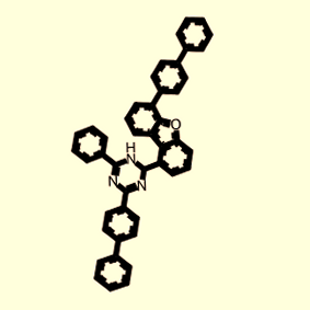 c1ccc(C2=NC(c3ccc(-c4ccccc4)cc3)=NC(c3cccc4oc5c(-c6ccc(-c7ccccc7)cc6)cccc5c34)N2)cc1